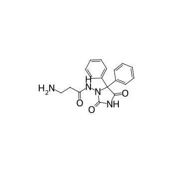 NCCC(=O)NN1C(=O)NC(=O)C1(c1ccccc1)c1ccccc1